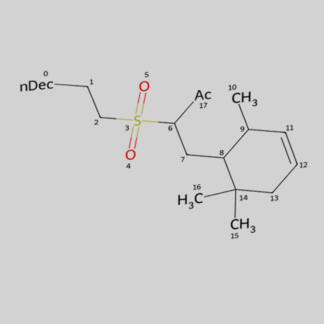 CCCCCCCCCCCCS(=O)(=O)C(CC1C(C)C=CCC1(C)C)C(C)=O